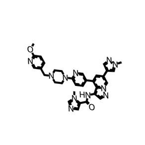 COc1ccc(CN2CCN(c3ccc(-c4cc(-c5cnn(C)c5)cn5ncc(NC(=O)c6cncn6C)c45)cn3)CC2)cn1